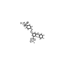 COC(=O)c1cc(OCc2ccc(S(C)(=O)=O)cc2)cc(Oc2ccccc2)c1